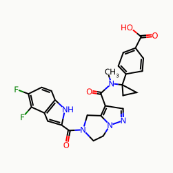 CN(C(=O)c1cnn2c1CN(C(=O)c1cc3c(F)c(F)ccc3[nH]1)CC2)C1(c2ccc(C(=O)O)cc2)CC1